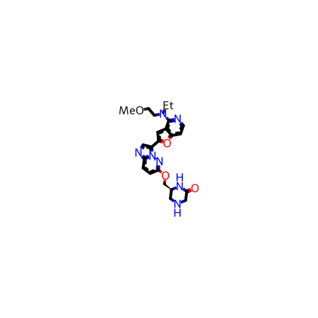 CCN(CCOC)c1nccc2oc(-c3cnc4ccc(OC[C@@H]5CNCC(=O)N5)nn34)cc12